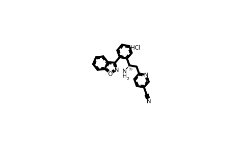 Cl.N#Cc1ccc(C[C@H](N)c2ccccc2-c2noc3ccccc23)nc1